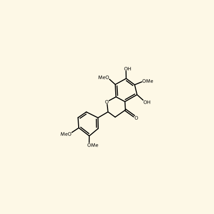 COc1ccc(C2CC(=O)c3c(O)c(OC)c(O)c(OC)c3O2)cc1OC